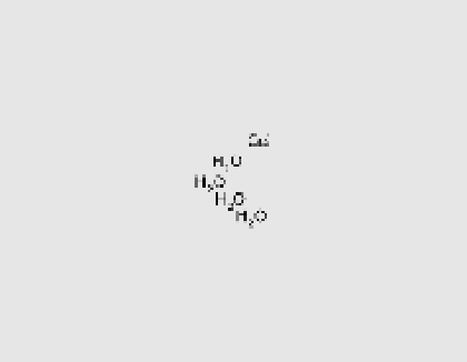 O.O.O.O.[Ge]